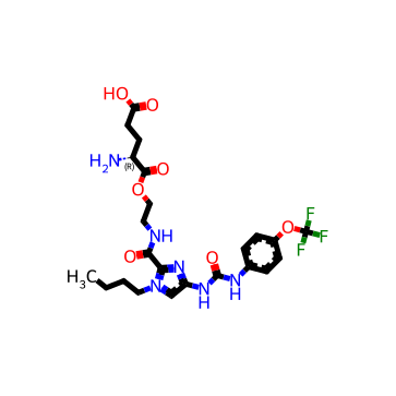 CCCCn1cc(NC(=O)Nc2ccc(OC(F)(F)F)cc2)nc1C(=O)NCCOC(=O)[C@H](N)CCC(=O)O